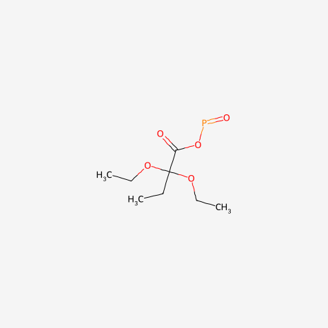 CCOC(CC)(OCC)C(=O)OP=O